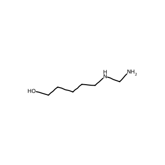 NCNCCCCCO